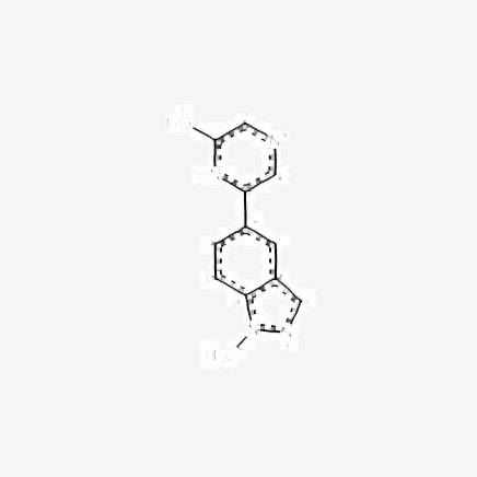 Cn1ncc2cc(-c3cncc(O)n3)ccc21